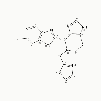 Fc1ccc2nc([C@@H]3c4nc[nH]c4CCN3Cc3nccs3)[nH]c2c1